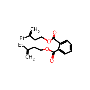 C=C(CC)CCOC(=O)c1ccccc1C(=O)OCCC(=C)CC